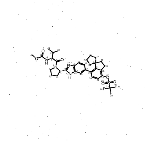 COC(=O)N[C@H](C(=O)N1CCC[C@H]1c1nc2ccc(-c3ccc(OS(=O)(=O)C(F)(F)F)c4c3C3(CCCC3)CC4)cc2[nH]1)C(C)C